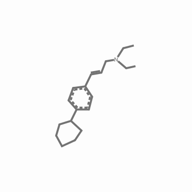 CCN(CC)C/C=C/c1ccc(C2CCCCC2)cc1